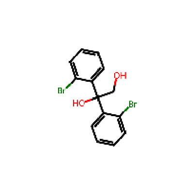 OCC(O)(c1ccccc1Br)c1ccccc1Br